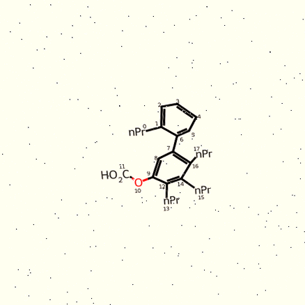 CCCc1ccccc1-c1cc(OC(=O)O)c(CCC)c(CCC)c1CCC